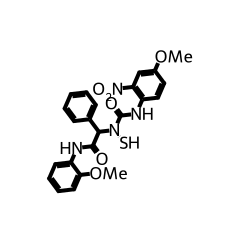 COc1ccc(NC(=O)N(S)C(C(=O)Nc2ccccc2OC)c2ccccc2)c([N+](=O)[O-])c1